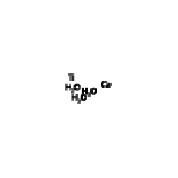 O.O.O.[Ca].[Ti]